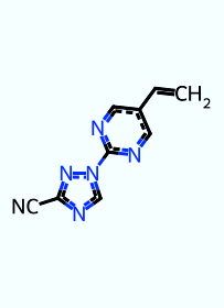 C=Cc1cnc(-n2cnc(C#N)n2)nc1